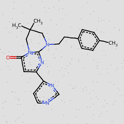 Cc1ccc(CCN2CC(C)(C)Cn3c2nc(-c2ccncn2)cc3=O)cc1